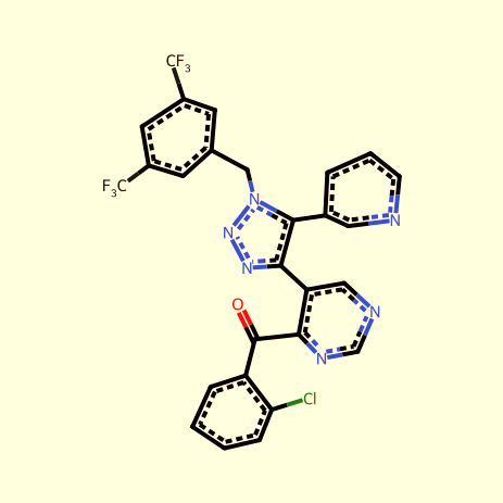 O=C(c1ccccc1Cl)c1ncncc1-c1nnn(Cc2cc(C(F)(F)F)cc(C(F)(F)F)c2)c1-c1cccnc1